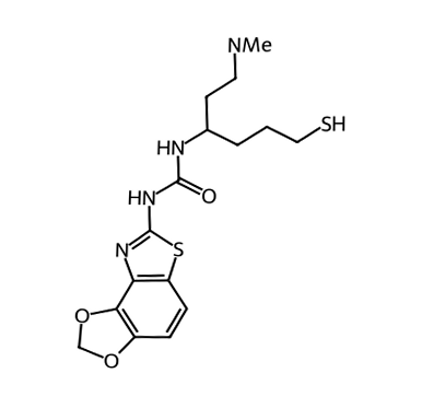 CNCCC(CCCS)NC(=O)Nc1nc2c3c(ccc2s1)OCO3